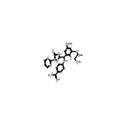 COc1cc(O[C@@H](C)COC(C)=O)c(F)c(C(Nc2ccc(C(=N)N)cc2)c2nn(-c3ncccn3)c(=O)[nH]2)c1